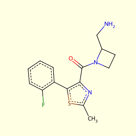 Cc1nc(C(=O)N2CCC2CN)c(-c2ccccc2F)s1